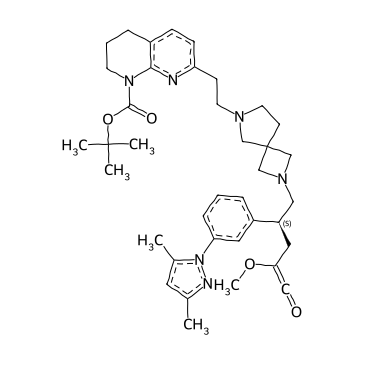 COC(=C=O)C[C@H](CN1CC2(CCN(CCc3ccc4c(n3)N(C(=O)OC(C)(C)C)CCC4)C2)C1)c1cccc(-n2nc(C)cc2C)c1